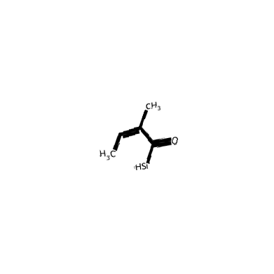 CC=C(C)C(=O)[SiH]